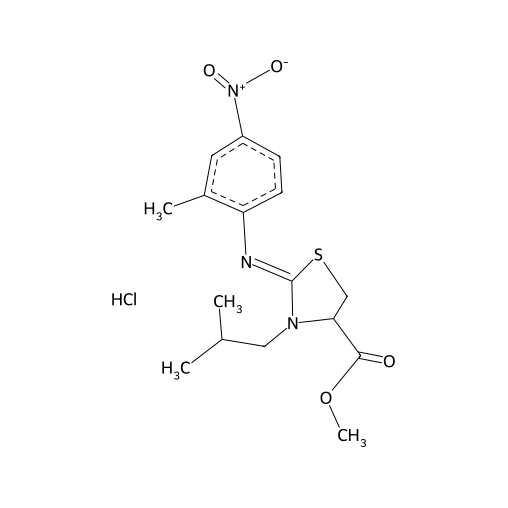 COC(=O)C1CSC(=Nc2ccc([N+](=O)[O-])cc2C)N1CC(C)C.Cl